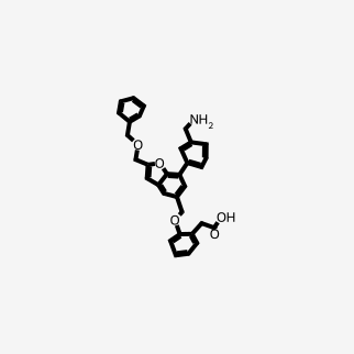 NCc1cccc(-c2cc(COc3ccccc3CC(=O)O)cc3cc(COCc4ccccc4)oc23)c1